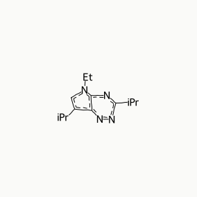 CCn1cc(C(C)C)c2nnc(C(C)C)nc21